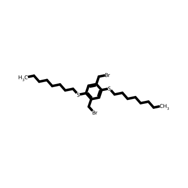 CCCCCCCCSc1cc(CBr)c(SCCCCCCCC)cc1CBr